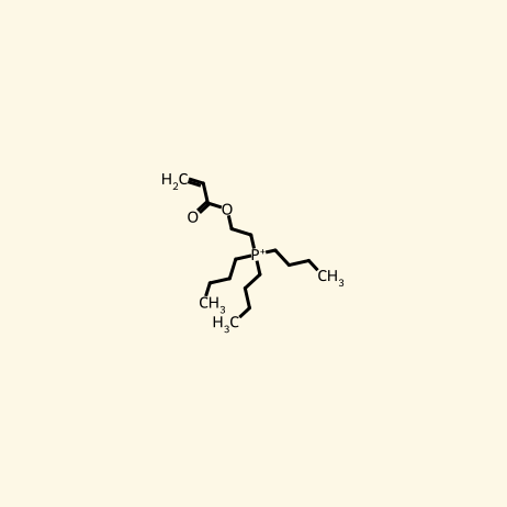 C=CC(=O)OCC[P+](CCCC)(CCCC)CCCC